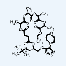 CCOC(=O)[C@H](C)OC(=O)[C@H](C)OC(=O)[C@H](C)OC(=O)[C@H](C)OC(=O)CCC(=O)O[C@@H](CNC(C)(C)C)COc1nsnc1N1CCOCC1